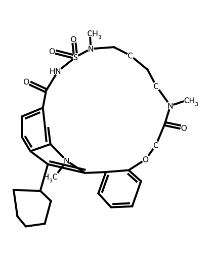 CN1CCCCN(C)S(=O)(=O)NC(=O)c2ccc3c(C4CCCCC4)c(n(C)c3c2)-c2ccccc2OCC1=O